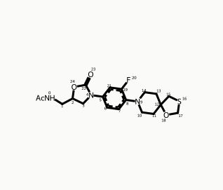 CC(=O)NCC1CN(c2ccc(N3CCC4(CC3)CSCO4)c(F)c2)C(=O)O1